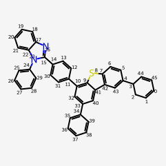 C1=CCC(c2ccc3sc4c(-c5ccc(-c6nc7ccccc7n6-c6ccccc6)cc5)cc(-c5ccccc5)cc4c3c2)C=C1